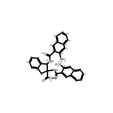 COC(=O)C1(NC(=O)c2cc3ccccc3cc2N)Cc2ccccc2C1NC(=O)c1cc2ccccc2cc1N